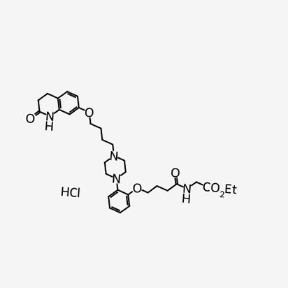 CCOC(=O)CNC(=O)CCCOc1ccccc1N1CCN(CCCCOc2ccc3c(c2)NC(=O)CC3)CC1.Cl